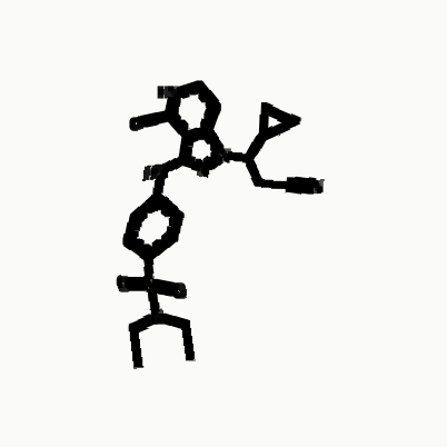 CCN(CC)S(=O)(=O)c1ccc(Nc2nn(C(CC#N)C3CC3)c3cc[nH]c(=O)c23)cc1